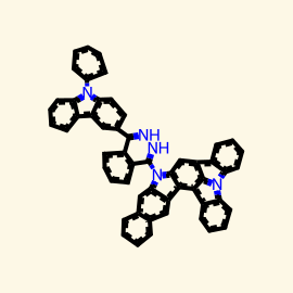 N=C(c1ccc2c(c1)c1ccccc1n2-c1ccccc1)c1ccccc1C(=N)n1c2cc3ccccc3cc2c2c3c4ccccc4n4c5ccccc5c(cc21)c34